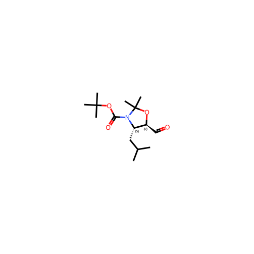 CC(C)C[C@H]1[C@H](C=O)OC(C)(C)N1C(=O)OC(C)(C)C